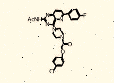 CC(=O)Nc1nc(N2CCN(C(=O)COc3ccc(Cl)cc3)CC2)c2nc(-c3ccc(F)cc3)ccc2n1